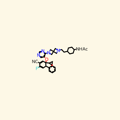 CC(=O)NC1CCC(CCN2CC3(C2)CN(c2ncncc2OC2(C4CC4)C=C(C#N)C(F)=CC2c2ccccc2)C3)CC1